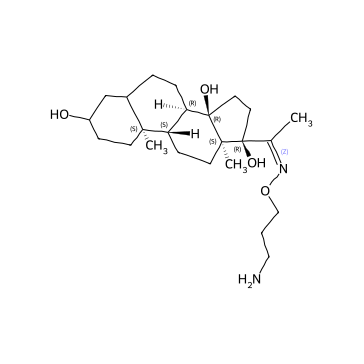 C/C(=N/OCCCN)[C@@]1(O)CC[C@@]2(O)[C@@H]3CCC4CC(O)CC[C@]4(C)[C@H]3CC[C@@]21C